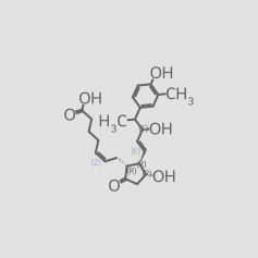 Cc1cc(C(C)[C@@H](O)/C=C/[C@H]2[C@H](O)CC(=O)[C@@H]2C/C=C\CCCC(=O)O)ccc1O